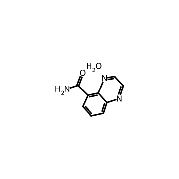 NC(=O)c1cccc2nccnc12.O